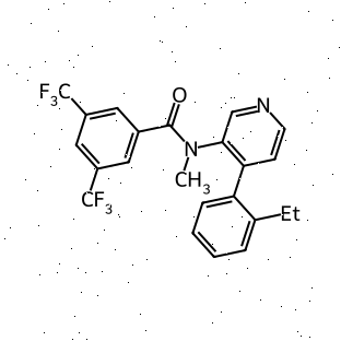 CCc1ccccc1-c1ccncc1N(C)C(=O)c1cc(C(F)(F)F)cc(C(F)(F)F)c1